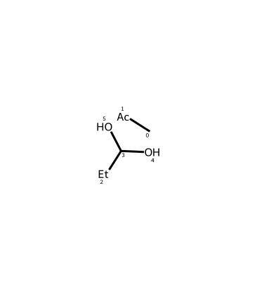 CC(C)=O.CCC(O)O